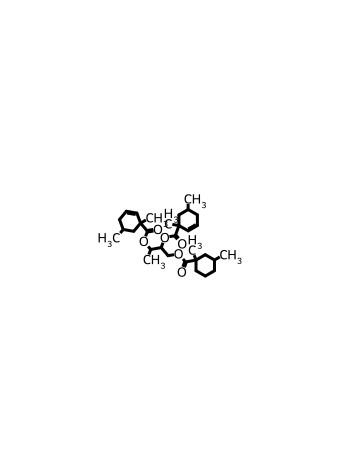 CC1CC=CC(C)(C(=O)OC(C)C(COC(=O)C2(C)CCCC(C)C2)OC(=O)C2(C)C=CCC(C)C2)C1